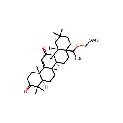 CCCCC(OCOC)[C@]12CCC(C)(C)C[C@H]1[C@H]1C(=O)C=C3[C@@]4(C)CCC(=O)C(C)(C)[C@@H]4CC[C@@]3(C)[C@]1(C)CC2